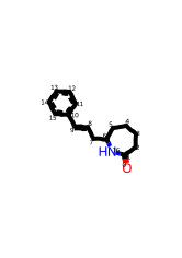 O=C1CCCCC(CC=Cc2ccccc2)N1